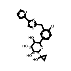 OC1C(c2ccc(Cl)c(Cc3ncc(-c4ccco4)s3)c2)O[C@H](C2(O)CC2)[C@@H](O)[C@@H]1O